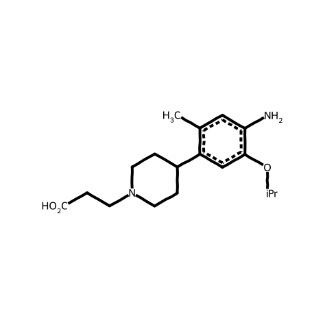 Cc1cc(N)c(OC(C)C)cc1C1CCN(CCC(=O)O)CC1